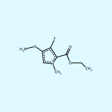 CCOC(=O)c1c(F)c(SN)cn1C